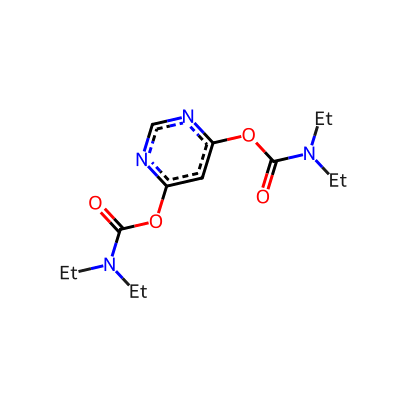 CCN(CC)C(=O)Oc1cc(OC(=O)N(CC)CC)ncn1